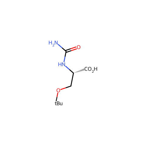 CC(C)(C)OC[C@H](NC(N)=O)C(=O)O